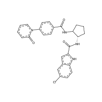 O=C(NC1CCC[C@@H]1NC(=O)c1cc2cc(Cl)ccc2[nH]1)c1ccc(-n2ccccc2=O)cc1